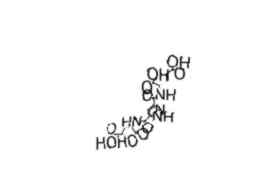 O=C(O)CC[C@H](NC(=O)c1cc(C(=O)N[C@@H](CCC(=O)O)C(=O)O)[nH]n1)C(=O)O